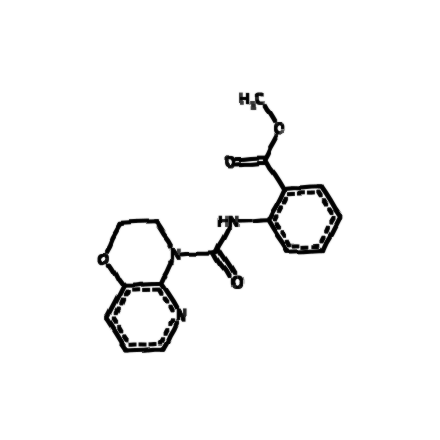 COC(=O)c1ccccc1NC(=O)N1CCOc2cccnc21